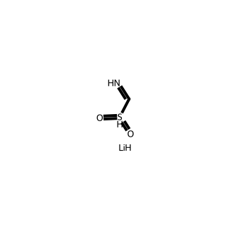 N=C[SH](=O)=O.[LiH]